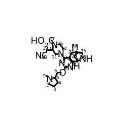 CN1CCCC1COc1nc2c(c(N3CCN(C(=O)O)C(CC#N)C3)n1)C[C@@H]1CN[C@H]2C1